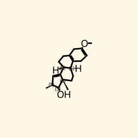 COC1=CCC2=C(CC[C@H]3C4=C[C@H](C)[C@H](O)[C@@]4(C)CC[C@H]23)C1